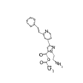 NCCn1nc(-c2ccnc(C=Cc3ccccc3)c2)cc1C(=O)OC(=O)C(F)(F)F